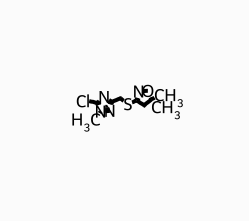 Cn1nc(CSC2=NOC(C)(C)C2)nc1Cl